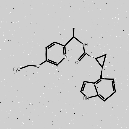 C[C@@H](NC(=O)[C@@H]1C[C@H]1c1cccc2[nH]ccc12)c1ccc(OCC(F)(F)F)cn1